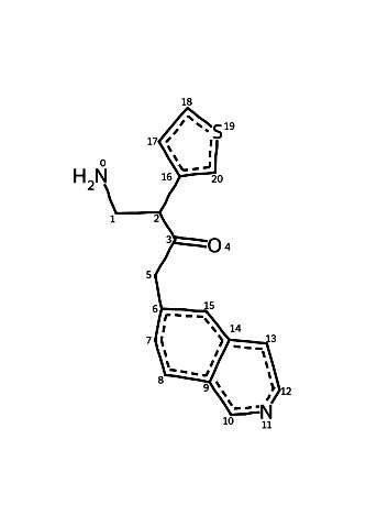 NCC(C(=O)Cc1ccc2cnccc2c1)c1ccsc1